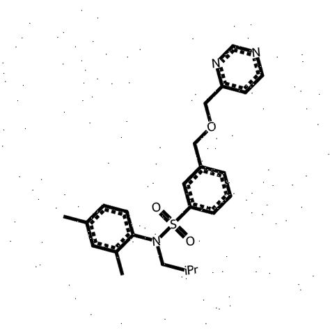 Cc1ccc(N(CC(C)C)S(=O)(=O)c2cccc(COCc3ccncn3)c2)c(C)c1